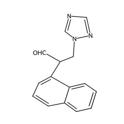 O=CC(Cn1cncn1)c1cccc2ccccc12